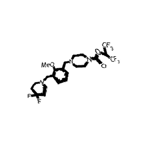 COc1c(CN2CCN(C(=O)OC(C(F)(F)F)C(F)(F)F)CC2)cccc1CN1CCC(F)(F)CC1